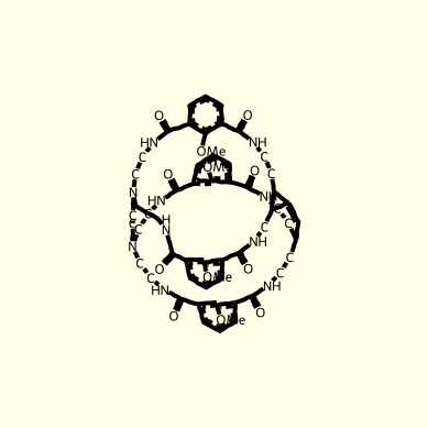 COc1c2cccc1C(=O)NCCN1CCNC(=O)c3cccc(c3OC)C(=O)NCCC(/C=C3/C4CCNC(=O)c5cccc(c5OC)C(=O)NCCN(CCNC(=O)c5cccc(c5OC)C(=O)NCC34)CC1)CCNC2=O